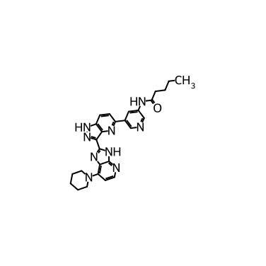 CCCCC(=O)Nc1cncc(-c2ccc3[nH]nc(-c4nc5c(N6CCCCC6)ccnc5[nH]4)c3n2)c1